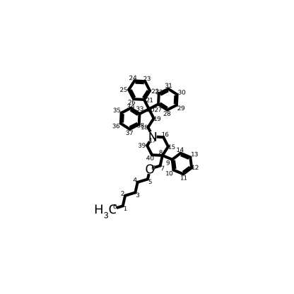 CCCCCCOCC1(c2ccccc2)CCN(CCC(c2ccccc2)(c2ccccc2)c2ccccc2)CC1